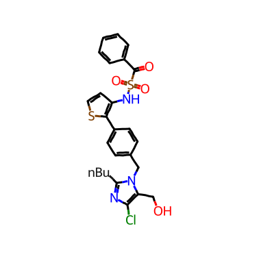 CCCCc1nc(Cl)c(CO)n1Cc1ccc(-c2sccc2NS(=O)(=O)C(=O)c2ccccc2)cc1